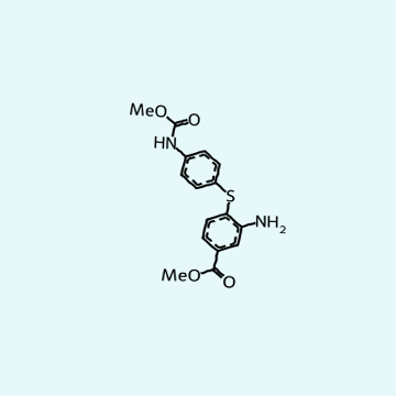 COC(=O)Nc1ccc(Sc2ccc(C(=O)OC)cc2N)cc1